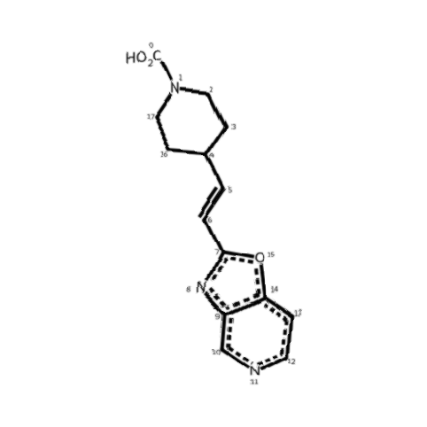 O=C(O)N1CCC(C=Cc2nc3cnccc3o2)CC1